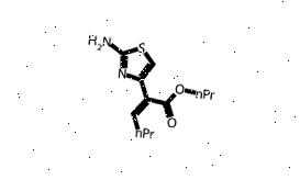 CCCC=C(C(=O)OCCC)c1csc(N)n1